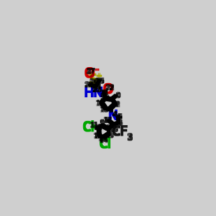 Cc1cc(N2CCC(c3cc(Cl)cc(Cl)c3)(C(F)(F)F)C2)ccc1C(=O)NC1C[S+]([O-])C1